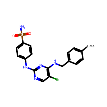 COc1ccc(CNc2nc(Nc3ccc(S(N)(=O)=O)cc3)ncc2Br)cc1